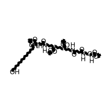 CC(C)(C)OC(=O)NOCCNC(=O)CCC(=O)NCCCN(CCCCN(CCCNC(=O)CC[C@H](NC(=O)CCCCCCCCCCCCCCO)C(=O)OC(C)(C)C)C(=O)OC(C)(C)C)C(=O)OC(C)(C)C